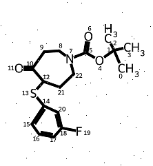 CC(C)(C)OC(=O)N1CCC(=O)C(Sc2cccc(F)c2)CC1